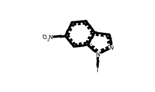 O=[N+]([O-])c1ccc2cnn(I)c2c1